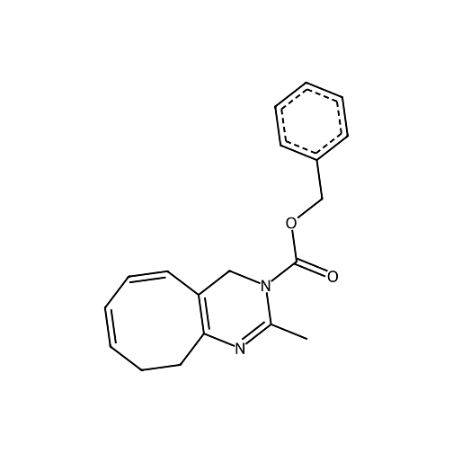 CC1=NC2=C(/C=C\C=C/CC2)CN1C(=O)OCc1ccccc1